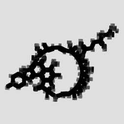 C/C1=C/C=C/[C@H](C)[C@H](OC(=O)CCC(=O)NBP)[C@@H](C)[C@@H](O)[C@@H](C)[C@H](C)[C@H](C)[C@@H](C)/C=C/O[C@@]2(C)Oc3c(C)c(O)c4c(c3C2=O)C2=NC3(CCN(C)CC3)NC2=C(NC1=O)C4=O